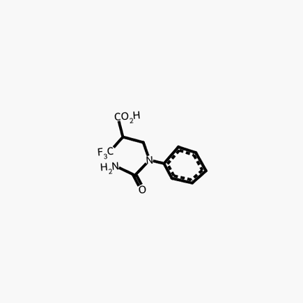 NC(=O)N(CC(C(=O)O)C(F)(F)F)c1ccccc1